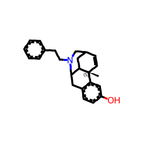 C[C@]12C=CC3CC1C(Cc1ccc(O)cc12)N(CCc1ccccc1)C3